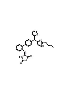 CCCCc1nc(C(c2ccc(-c3ccccc3/C=C3\NC(=O)CC3=O)cc2)c2cccs2)n[nH]1